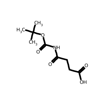 CC(C)(C)OC(=O)NC(=O)CCC(=O)O